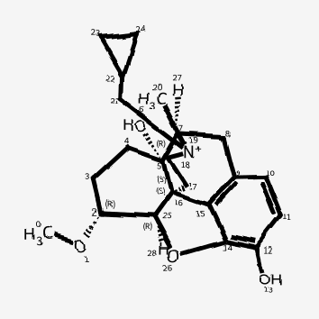 CO[C@@H]1CC[C@@]2(O)[C@H]3Cc4ccc(O)c5c4[C@@]2(CC[N+]3(C)CC2CC2)[C@H]1O5